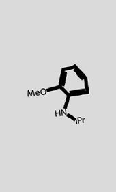 COc1c[c]ccc1NC(C)C